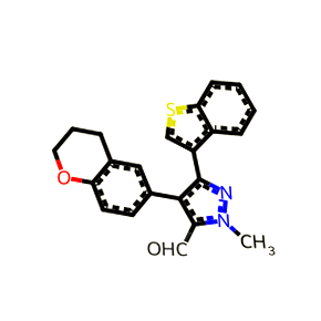 Cn1nc(-c2csc3ccccc23)c(-c2ccc3c(c2)CCCO3)c1C=O